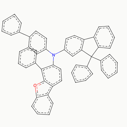 c1ccc(-c2ccc(N(c3ccc4c(c3)C(c3ccccc3)(c3ccccc3)c3ccccc3-4)c3ccc4c(oc5ccccc54)c3-c3ccccc3)cc2)cc1